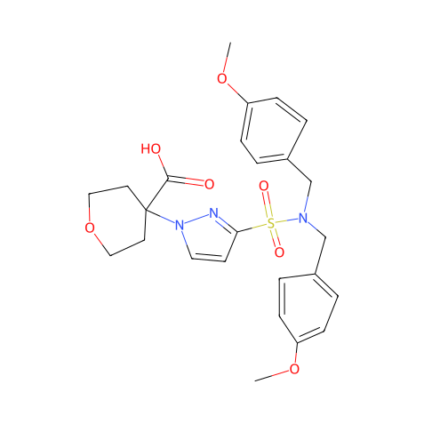 COc1ccc(CN(Cc2ccc(OC)cc2)S(=O)(=O)c2ccn(C3(C(=O)O)CCOCC3)n2)cc1